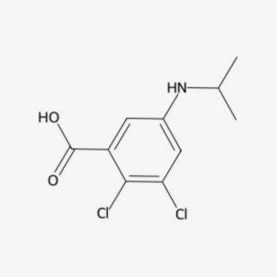 CC(C)Nc1cc(Cl)c(Cl)c(C(=O)O)c1